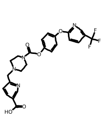 O=C(O)c1ccc(CN2CCN(C(=O)Oc3ccc(Oc4ccc(C(F)(F)F)cn4)cc3)CC2)nc1